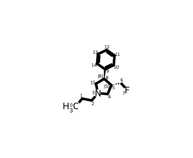 CCCN1C[C@@H](CF)[C@H](c2ccccc2)C1